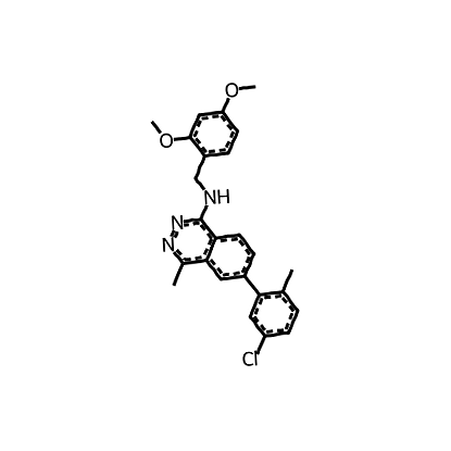 COc1ccc(CNc2nnc(C)c3cc(-c4cc(Cl)ccc4C)ccc23)c(OC)c1